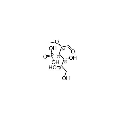 CO[C@@H](C=O)[C@H]([C@H](O)[C@H](O)CO)P(=O)(O)O